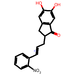 O=C1c2cc(O)c(O)cc2CC1C/C=C/c1ccccc1[N+](=O)[O-]